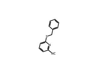 [C-]#[N+]c1cccc(SCc2ccccc2)n1